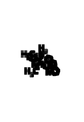 CCc1nc(CO)c(CC)c(CN)c1N(Cc1nc2ccccc2[nH]1)C1CCCc2cccnc21